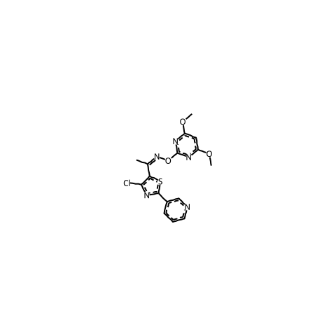 COc1cc(OC)nc(ON=C(C)c2sc(-c3cccnc3)nc2Cl)n1